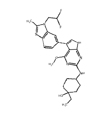 CCC1(O)CCC(Nc2nc(OC)c3c(-c4ccc5nc(C)n(CC(F)F)c5c4)c[nH]c3n2)CC1